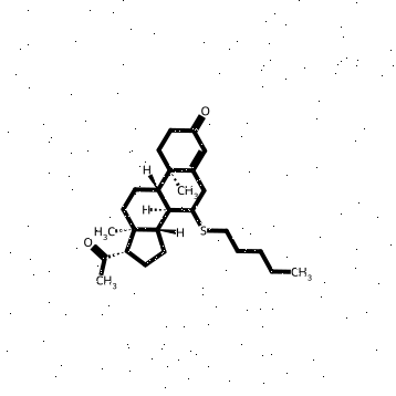 CCCCCSC1CC2=CC(=O)CC[C@]2(C)[C@H]2CC[C@]3(C)[C@@H](C(C)=O)CC[C@H]3[C@H]12